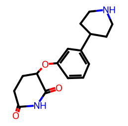 O=C1CCC(Oc2cccc(C3CCNCC3)c2)C(=O)N1